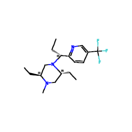 CC[C@H]1CN([C@H](CC)c2ccc(C(F)(F)F)cn2)[C@H](CC)CN1C